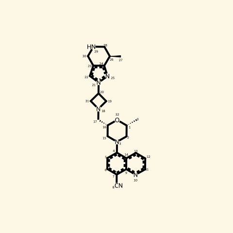 C[C@@H]1CN(c2ccc(C#N)c3ncccc23)C[C@H](CN2CC(n3cc4c(n3)[C@H](C)CNC4)C2)O1